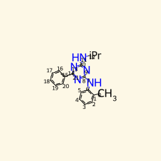 Cc1ccccc1Nc1nc(NC(C)C)nc(-c2ccccc2)n1